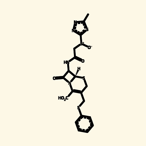 Cc1nnc([S+]([O-])CC(=O)NC2C(=O)N3C(C(=O)O)=C(CSc4ccccc4)CS[C@H]23)s1